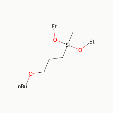 CCCCOCCC[Si](C)(OCC)OCC